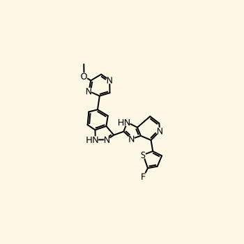 COc1cncc(-c2ccc3[nH]nc(-c4nc5c(-c6ccc(F)s6)nccc5[nH]4)c3c2)n1